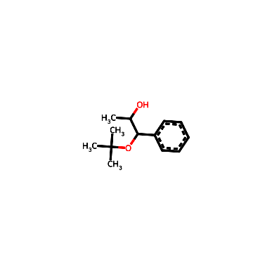 CC(O)C(OC(C)(C)C)c1ccccc1